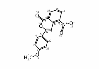 COc1ccc(-c2cc3c([N+](=O)[O-])cccc3c(=O)o2)cc1